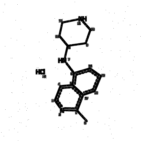 Cc1nccc2c(NC3CCNCC3)cccc12.Cl